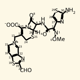 CO/N=C(\C(=O)NC1C(=O)N2C(C(=O)[O-])=C(C[n+]3ccc4sc(C=O)nc4c3)CS[C@@H]12)c1csc(N)n1